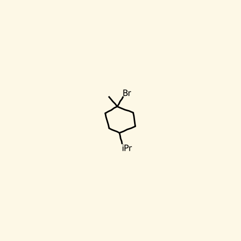 CC(C)C1CCC(C)(Br)CC1